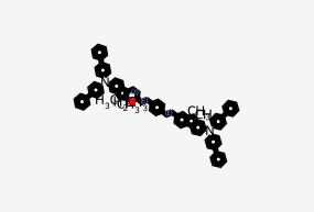 C=C(/C=C\C1=C(C)C(C)(C)c2cc(N(c3ccc(-c4ccccc4)cc3)c3ccc(-c4ccccc4)cc3)ccc21)/C=C/c1ccc(/C=C/c2ccc3c(c2)C(C)(C)c2cc(N(c4ccc(-c5ccccc5)cc4)c4ccc(-c5ccccc5)cc4)ccc2-3)cc1